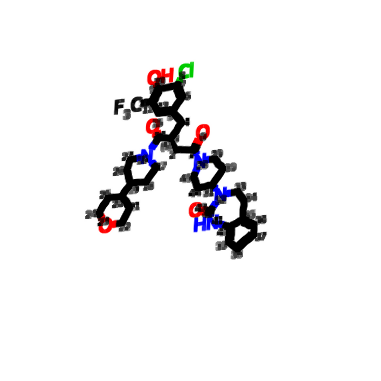 O=C(C[C@H](Cc1cc(Cl)c(O)c(C(F)(F)F)c1)C(=O)N1CCC(C2CCOCC2)CC1)N1CCC(N2CCc3ccccc3NC2=O)CC1